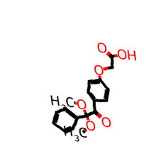 COC(OC)(C(=O)c1ccc(OCC(=O)O)cc1)c1ccccc1